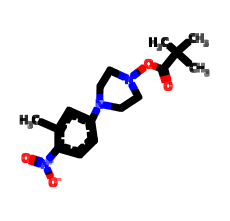 Cc1cc(N2CCN(OC(=O)C(C)(C)C)CC2)ccc1[N+](=O)[O-]